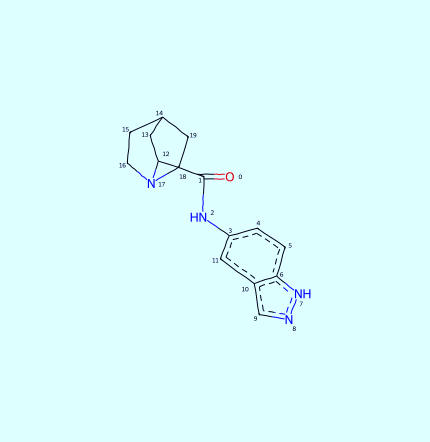 O=C(Nc1ccc2[nH]ncc2c1)C1CC2CCN1CC2